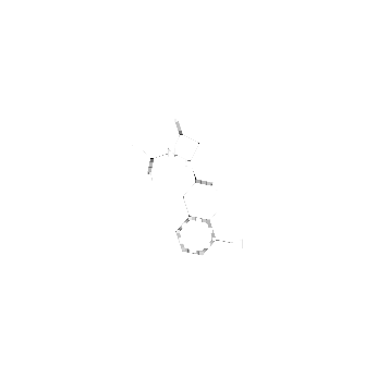 O=C(Cc1cccc(Cl)c1F)[C@@H]1CC(=O)N1C(=O)O